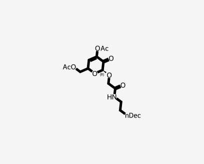 CCCCCCCCCCCCNC(=O)CO[C@@H]1OC(COC(C)=O)C=C(OC(C)=O)C1=O